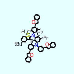 Cc1cc(-c2cc3ccccc3o2)cc(C)c1N1c2cc(C(C)C)cc3c2B(c2ccc(-c4cc5ccccc5o4)cc2N3c2cccc(-c3cc4ccccc4o3)c2)c2c1sc1ccc(C(C)(C)C)cc21